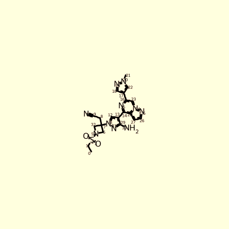 CCS(=O)(=O)N1CC(CC#N)(n2cc(-c3nc(-c4cnn(C)c4)cn4nccc34)c(N)n2)C1